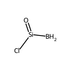 B[Si](=O)Cl